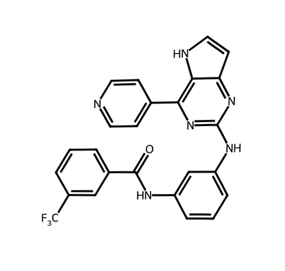 O=C(Nc1cccc(Nc2nc(-c3ccncc3)c3[nH]ccc3n2)c1)c1cccc(C(F)(F)F)c1